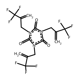 C=C(Cn1c(=O)n(CC(=C)C(F)(F)F)c(=O)n(CC(=C)C(F)(F)F)c1=O)C(F)(F)F